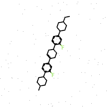 CCC1CCC(c2ccc(C3CC=C(c4ccc(C5CCC(C)CC5)c(F)c4)CC3)c(F)c2)CC1